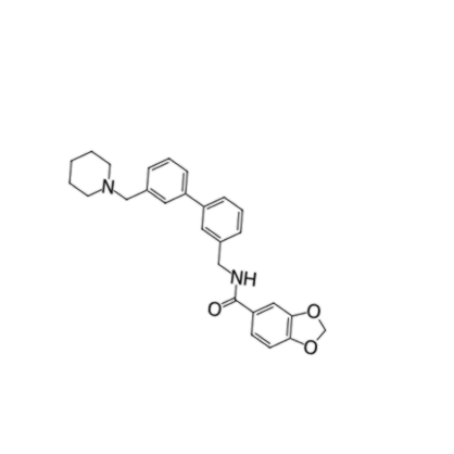 O=C(NCc1cccc(-c2cccc(CN3CCCCC3)c2)c1)c1ccc2c(c1)OCO2